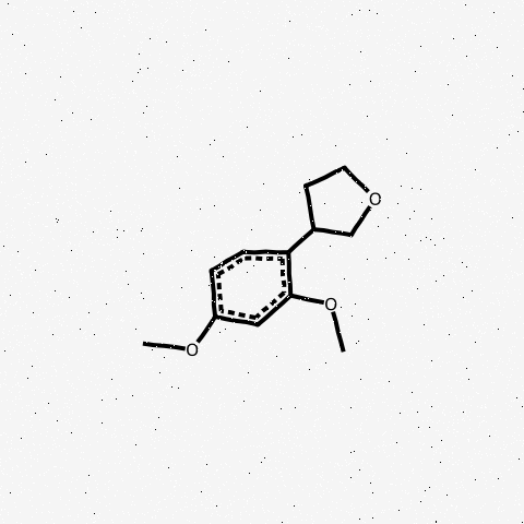 COc1ccc(C2CCOC2)c(OC)c1